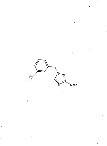 CNc1cn(Cc2cccc(C(F)(F)F)c2)cn1